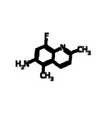 Cc1ccc2c(C)c(N)cc(F)c2n1